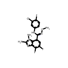 Nc1nc2c(F)c(F)cc(/C(=N/OP)Nc3ccc(F)c(Cl)c3)c2n1N